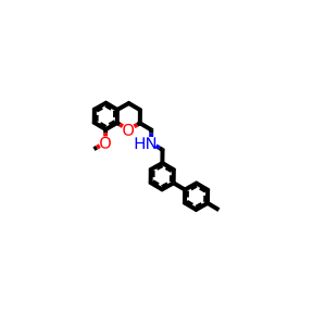 COc1cccc2c1OC(CNCc1cccc(-c3ccc(C)cc3)c1)CC2